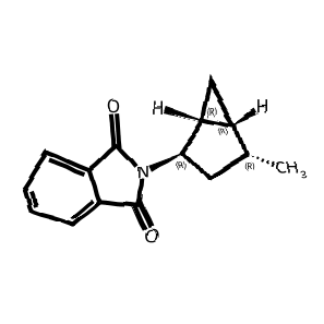 C[C@@H]1C[C@@H](N2C(=O)c3ccccc3C2=O)[C@@H]2C[C@@H]21